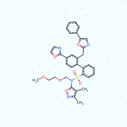 COCCOCN(c1onc(C)c1C)S(=O)(=O)c1ccccc1-c1ccc(-c2ncco2)cc1Cc1ncc(-c2ccccc2)o1